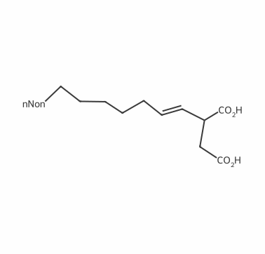 CCCCCCCCCCCCCCC=CC(CC(=O)O)C(=O)O